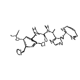 CC(C)Oc1cc(NC(=O)NC(C)c2ncnn2-c2ncccn2)c(Cl)cc1Cl